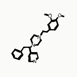 COc1ccc(CCN2CCN(C(Cc3ccccc3)c3ccncc3)CC2)cc1OC